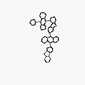 C1=CC2Sc3cc(-c4c5ccccc5c(-c5ccc6c(c5)sc5cccc(-c7c8ccccc8c(-c8ccccc8)c8ccccc78)c56)c5ccccc45)ccc3C2C=C1